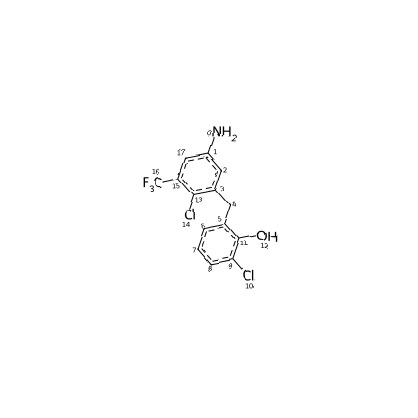 Nc1cc(Cc2cccc(Cl)c2O)c(Cl)c(C(F)(F)F)c1